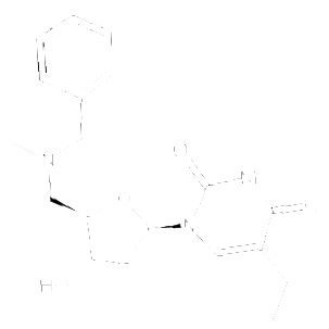 CCc1cn([C@H]2C[C@H](O)[C@@H](CN(C)Cc3ccccc3)O2)c(=O)[nH]c1=O